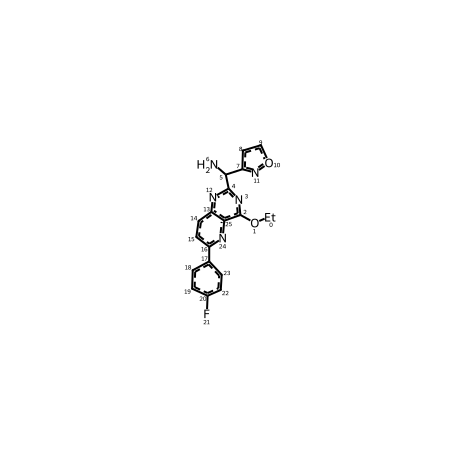 CCOc1nc(C(N)c2ccon2)nc2ccc(-c3ccc(F)cc3)nc12